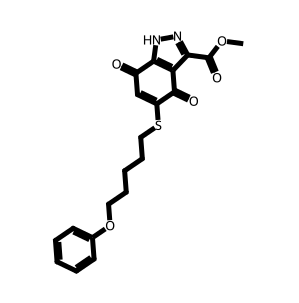 COC(=O)c1n[nH]c2c1C(=O)C(SCCCCCOc1ccccc1)=CC2=O